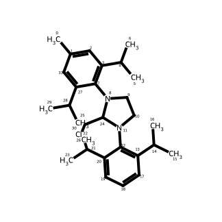 Cc1cc(C(C)C)c(N2CCN(c3c(C(C)C)cccc3C(C)C)C2CCl)c(C(C)C)c1